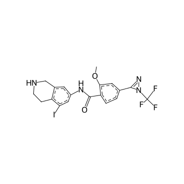 COc1cc(C2=NN2C(F)(F)F)ccc1C(=O)Nc1cc(I)c2c(c1)CNCC2